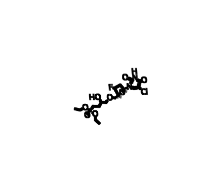 CCOP(=O)(CCC(O)COC[C@@H]1O[C@H](n2cc(Cl)c(=O)[nH]c2=O)CC1F)OCC